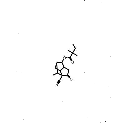 CCC(C)(C)C(=O)OC1C2CC3C1CC(=O)C3(C#N)C2C